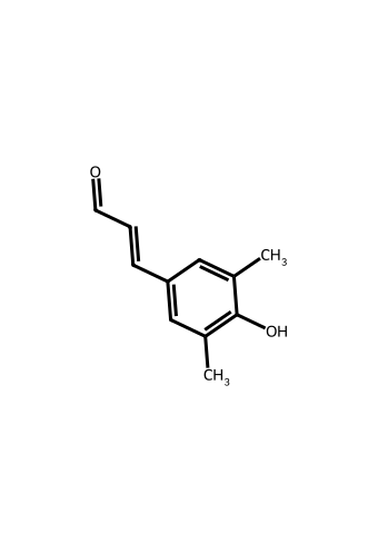 Cc1cc(C=CC=O)cc(C)c1O